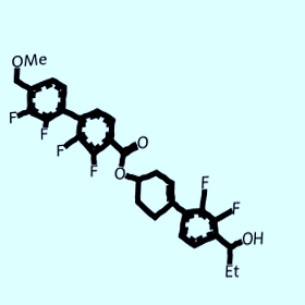 CCC(O)c1ccc(C2=CCC(OC(=O)c3ccc(-c4ccc(COC)c(F)c4F)c(F)c3F)CC2)c(F)c1F